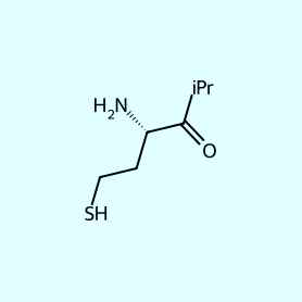 CC(C)C(=O)[C@@H](N)CCS